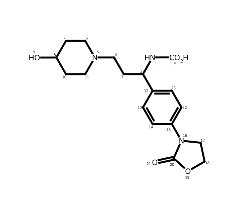 O=C(O)NC(CCN1CCC(O)CC1)c1ccc(N2CCOC2=O)cc1